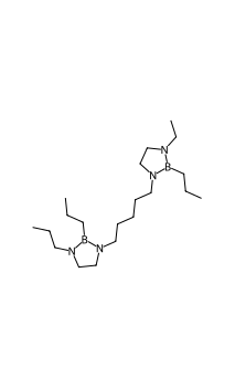 CCCB1N(CC)CCN1CCCCCN1CCN(CCC)B1CCC